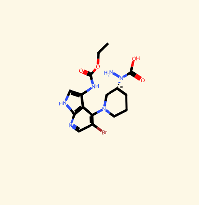 CCOC(=O)Nc1c[nH]c2ncc(Br)c(N3CCC[C@@H](N(N)C(=O)O)C3)c12